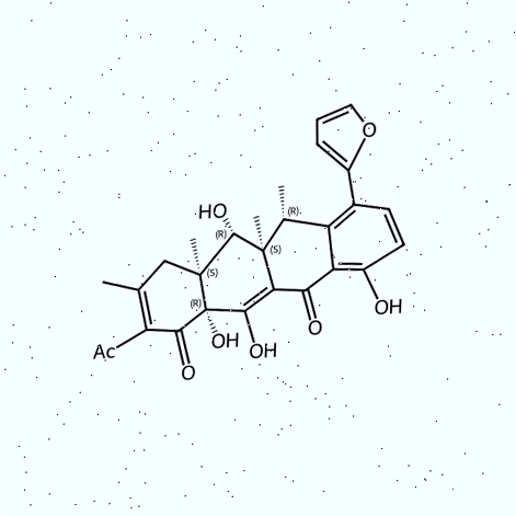 CC(=O)C1=C(C)C[C@@]2(C)[C@H](O)[C@]3(C)C(=C(O)[C@@]2(O)C1=O)C(=O)c1c(O)ccc(-c2ccco2)c1[C@H]3C